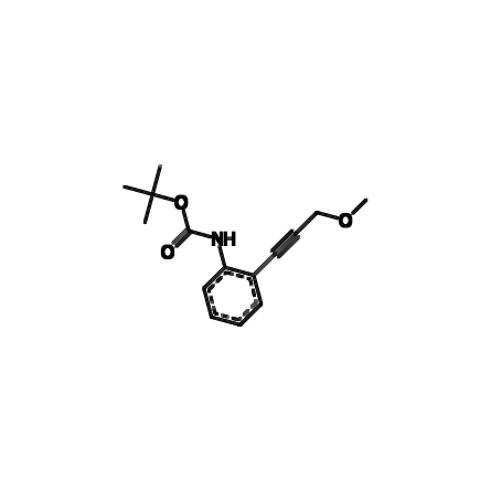 COCC#Cc1ccccc1NC(=O)OC(C)(C)C